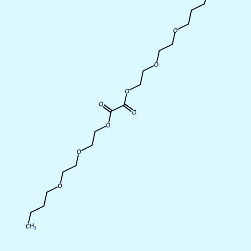 CCCCOCCOCCOC(=O)C(=O)OCCOCCOCCCC